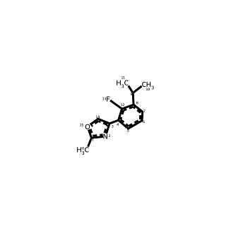 Cc1nc(-c2cccc(C(C)C)c2F)co1